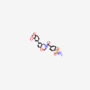 NS(=O)(=O)c1ccc(C(=O)N2CCOc3ccc(-c4ccc5c(c4)OCO5)cc3C2)cc1